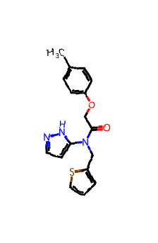 Cc1ccc(OCC(=O)N(Cc2cccs2)c2ccn[nH]2)cc1